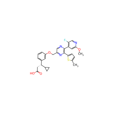 COc1cc(-c2ncc(COc3cccc([C@@H](CC(=O)O)C4CC4)c3)nc2-c2ccc(C)s2)c(F)cn1